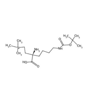 CC(C)(C)OC(=O)NCCCC[C@@](N)(CC[Si](C)(C)C)C(=O)O